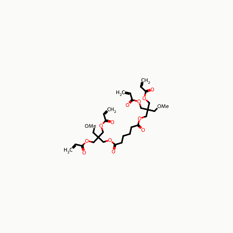 C=CC(=O)OCC(COC)(COC(=O)C=C)COC(=O)CCCCC(=O)OCC(COC)(COC(=O)C=C)COC(=O)C=C